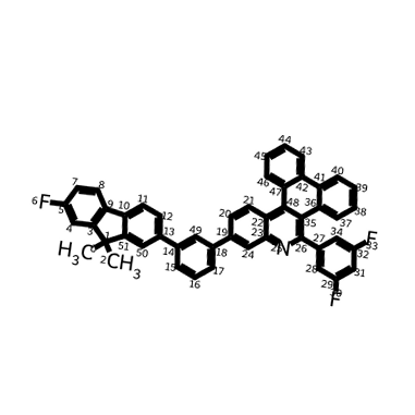 CC1(C)c2cc(F)ccc2-c2ccc(-c3cccc(-c4ccc5c(c4)nc(-c4cc(F)cc(F)c4)c4c6ccccc6c6ccccc6c54)c3)cc21